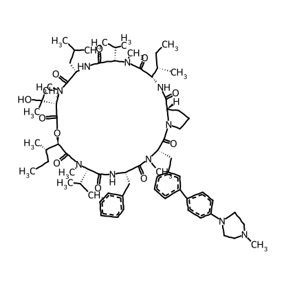 CC[C@H](C)[C@@H]1NC(=O)[C@@H]2CCCN2C(=O)[C@H](Cc2cccc(-c3ccc(N4CCN(C)CC4)cc3)c2)N(C)C(=O)[C@H](Cc2ccccc2)NC(=O)[C@H](C(C)C)N(C)C(=O)[C@@H]([C@@H](C)CC)OC(=O)[C@H](C(C)(C)O)N(C)C(=O)[C@H](CC(C)C)NC(=O)[C@H](C(C)C)N(C)C1=O